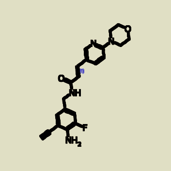 C#Cc1cc(CNC(=O)/C=C/c2ccc(N3CCOCC3)nc2)cc(F)c1N